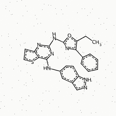 CCc1oc(Nc2nc(Nc3ccc4[nH]ncc4c3)c3sccc3n2)nc1-c1ccccc1